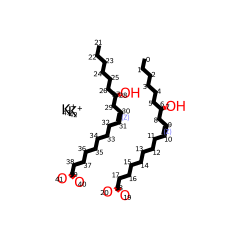 CCCCCCC(O)C/C=C\CCCCCCCC(=O)[O-].CCCCCCC(O)C/C=C\CCCCCCCC(=O)[O-].[K+].[K+]